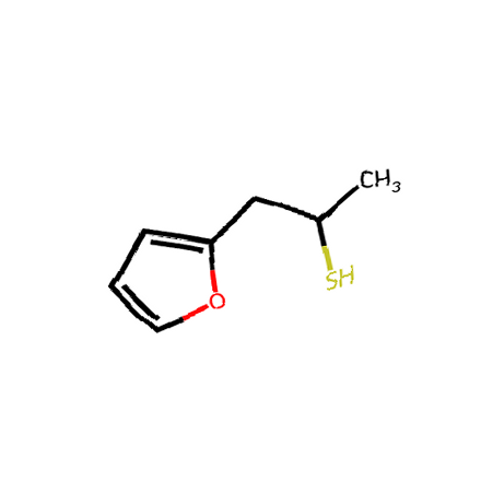 CC(S)Cc1ccco1